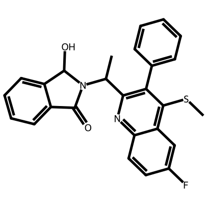 CSc1c(-c2ccccc2)c(C(C)N2C(=O)c3ccccc3C2O)nc2ccc(F)cc12